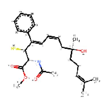 COC(=O)[C@@H](NC(C)=O)[C@@H](S)/C(=C/C=C\C[C@@](C)(O)CCC=C(C)C)c1ccccc1